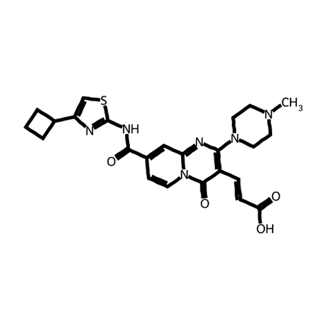 CN1CCN(c2nc3cc(C(=O)Nc4nc(C5CCC5)cs4)ccn3c(=O)c2C=CC(=O)O)CC1